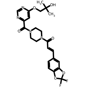 CC(C)(O)COc1cc(C(=O)N2CCN(C(=O)/C=C/c3ccc4c(c3)OC(F)(F)O4)CC2)ncn1